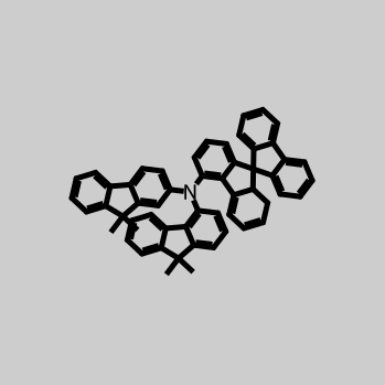 CC1(C)c2ccccc2-c2ccc(N(c3cccc4c3C3=CC=CCC3C43c4ccccc4-c4ccccc43)c3cccc4c3-c3ccccc3C4(C)C)cc21